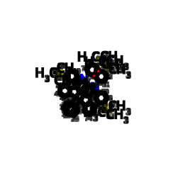 CS(C)(C)c1ccc(N(c2ccc(S(C)(C)C)cc2)c2ccc3c(c2)C(c2ccccc2)(C2(c4ccccc4)c4ccccc4-c4ccc(N(c5ccc(S(C)(C)C)cc5)c5ccc(S(C)(C)C)cc5)cc42)c2ccccc2-3)cc1